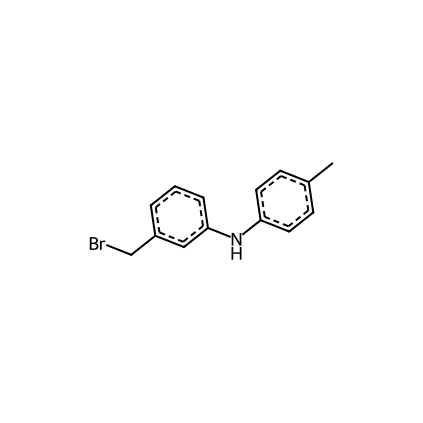 Cc1ccc(Nc2cccc(CBr)c2)cc1